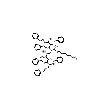 CC(COCc1ccccc1)C(OCc1ccccc1)C(OCc1ccccc1)C(O)C(O)OC(C(O)OCCCCCN)C(OCc1ccccc1)C(OCc1ccccc1)C(C)COCc1ccccc1